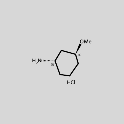 CO[C@H]1CCC[C@H](N)C1.Cl